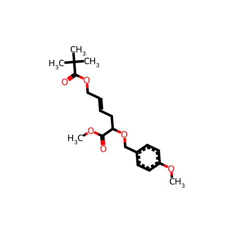 COC(=O)C(C/C=C/COC(=O)C(C)(C)C)OCc1ccc(OC)cc1